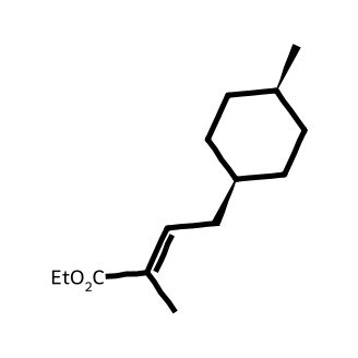 CCOC(=O)/C(C)=C/C[C@H]1CC[C@@H](C)CC1